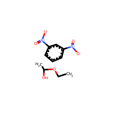 CCOC(C)O.O=[N+]([O-])c1cccc([N+](=O)[O-])c1